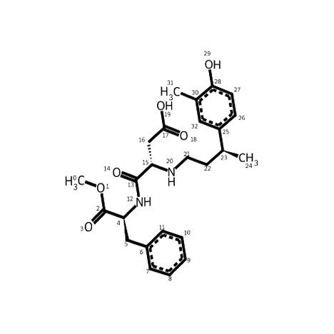 COC(=O)[C@H](Cc1ccccc1)NC(=O)[C@H](CC(=O)O)NCC[C@H](C)c1ccc(O)c(C)c1